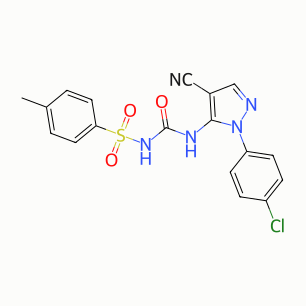 Cc1ccc(S(=O)(=O)NC(=O)Nc2c(C#N)cnn2-c2ccc(Cl)cc2)cc1